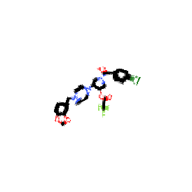 O=C(c1ccc(Cl)cc1)N1C[C@H](OC(=O)C(F)(F)F)[C@@H](N2CCN(Cc3ccc4c(c3)OCO4)CC2)C1